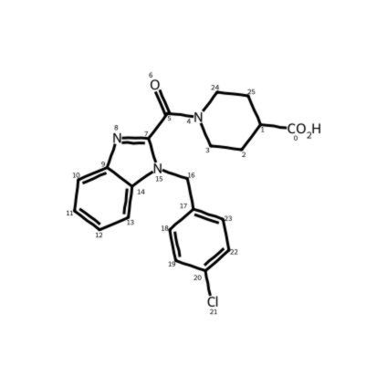 O=C(O)C1CCN(C(=O)c2nc3ccccc3n2Cc2ccc(Cl)cc2)CC1